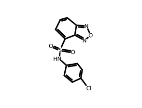 O=S(=O)(Nc1ccc(Cl)cc1)c1cccc2nonc12